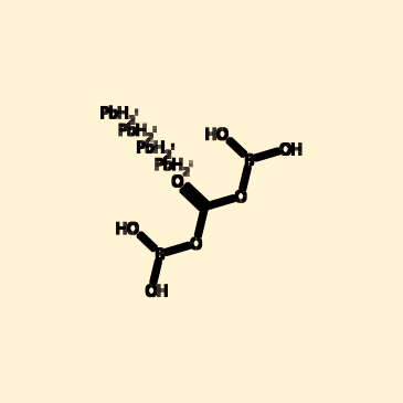 O=C(OB(O)O)OB(O)O.[PbH2].[PbH2].[PbH2].[PbH2]